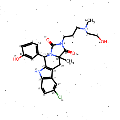 CN(CCO)CCCN1C(=O)N2C(c3cccc(O)c3)c3[nH]c4ccc(Cl)cc4c3CC2(C)C1=O